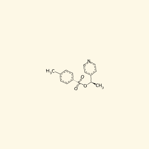 Cc1ccc(S(=O)(=O)O[C@H](C)c2ccncc2)cc1